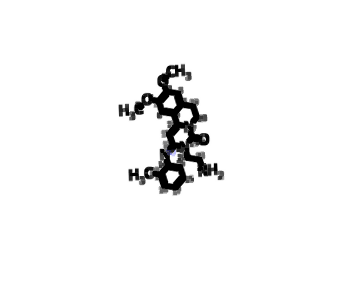 COc1cc2c(cc1OC)-c1c/c(=N/c3ccccc3C)n(CCN)c(=O)n1CC2